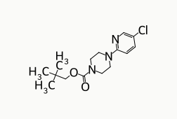 CC(C)(C)COC(=O)N1CCN(c2ccc(Cl)cn2)CC1